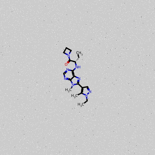 CC[C@H](Nc1ncnc2c1nc(-c1cnn(CC)c1C)n2C)C(=O)N1CCC1